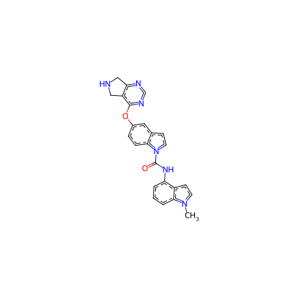 Cn1ccc2c(NC(=O)n3ccc4cc(Oc5ncnc6c5CNC6)ccc43)cccc21